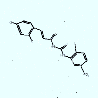 O=C(/C=C/c1ccc(Cl)cc1Cl)NC(=S)Nc1cc([N+](=O)[O-])ccc1F